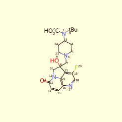 CC(C)(C)N(C(=O)O)C1CCN(CC2(O)Cn3c(=O)ccc4ncc(F)c2c43)CC1